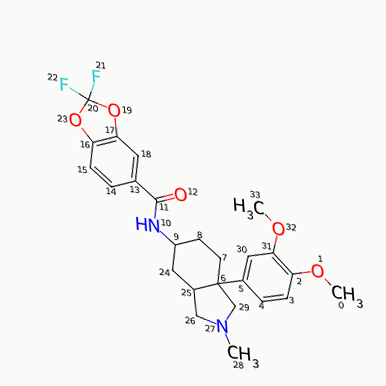 COc1ccc(C23CCC(NC(=O)c4ccc5c(c4)OC(F)(F)O5)CC2CN(C)C3)cc1OC